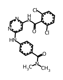 CN(C)C(=O)c1ccc(Nc2cc(NC(=O)c3c(Cl)cccc3Cl)ncn2)cc1